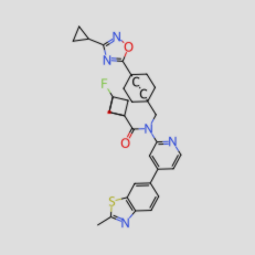 Cc1nc2ccc(-c3ccnc(N(CC45CCC(c6nc(C7CC7)no6)(CC4)CC5)C(=O)C45CC(F)(C4)C5)c3)cc2s1